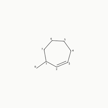 CC1C=[C]CCCC1